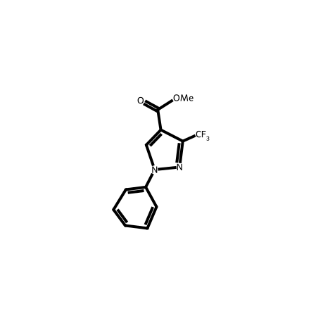 COC(=O)c1cn(-c2ccccc2)nc1C(F)(F)F